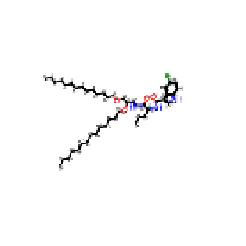 CCCCCCCCCCCCCCOCC(CNC(=O)C(CCC)NC(=O)c1c[nH]c2ccc(F)cc12)OCCCCCCCCCCCCCC